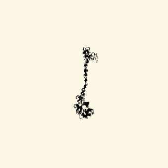 CC(C)(C)[C@H](NC(=O)COCCOCCOCCOCCOCCNC(=O)C(F)CNC(=O)c1cnc(Nc2ccc3cnccc3n2)cc1NC1CC1)C(=O)N1CC[C@@H](O)C1